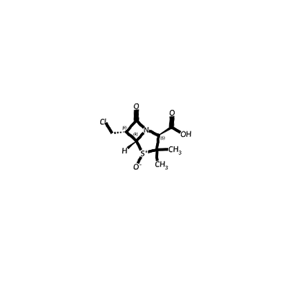 CC1(C)[C@H](C(=O)O)N2C(=O)[C@@H](CCl)[C@H]2[S+]1[O-]